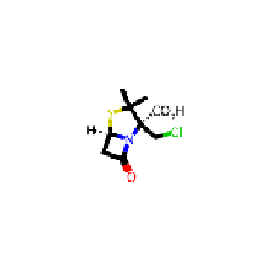 CC1(C)S[C@@H]2CC(=O)N2[C@@]1(CCl)C(=O)O